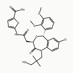 COc1cccc([C@H]2O[C@H](CC(=O)Nc3ccc(C(=O)O)o3)C(=O)N(CC(C)(C)CO)c3ccc(Cl)cc32)c1OC